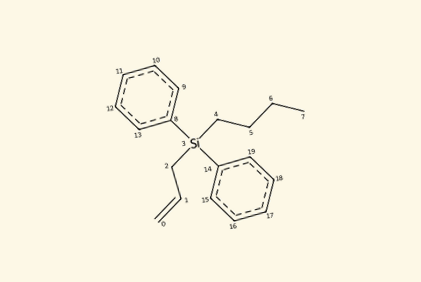 C=CC[Si](CCCC)(c1ccccc1)c1ccccc1